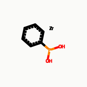 OP(O)c1ccccc1.[Zr]